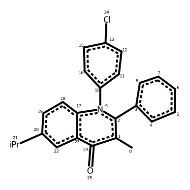 Cc1c(-c2ccccc2)n(-c2ccc(Cl)cc2)c2ccc(C(C)C)cc2c1=O